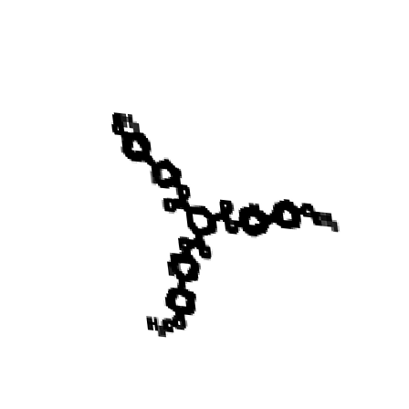 COc1ccc(-c2ccc(OC(=O)C3CC(C(=O)Oc4ccc(-c5ccc(OC)cc5)nc4)CC(C(=O)Oc4ccc(-c5ccc(OC)cc5)nc4)C3)cn2)cc1